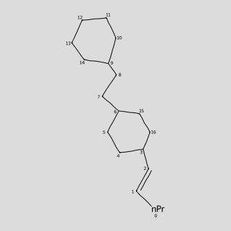 CCC/C=C/C1CCC(CCC2CCCCC2)CC1